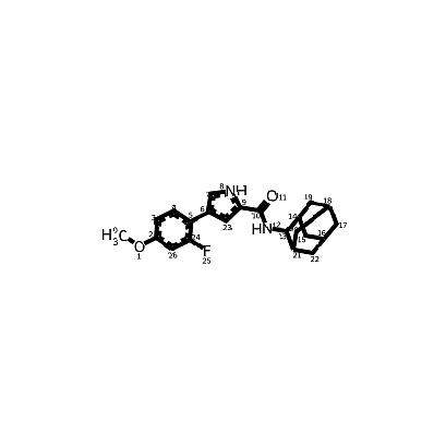 COc1ccc(-c2c[nH]c(C(=O)NC3C4CC5CC(C4)CC3C5)c2)c(F)c1